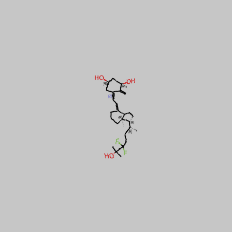 C=C1/C(=C\C=C2CCC[C@@]3(C)C2CC[C@@H]3[C@H](C)CCC(F)(F)C(C)(C)O)C[C@@H](O)C[C@H]1O